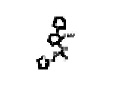 COc1c(NC(=O)OCc2ccco2)cccc1-c1ccccc1